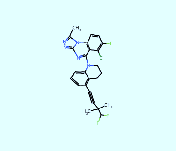 Cc1nnc2nc(N3CCCc4c(C#CC(C)(C)C(F)F)cccc43)c3c(Cl)c(F)ccc3n12